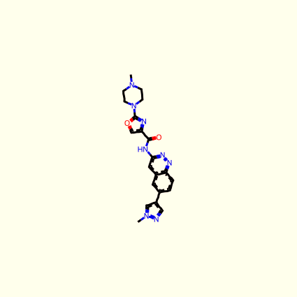 CN1CCN(c2nc(C(=O)Nc3cc4cc(-c5cnn(C)c5)ccc4nn3)co2)CC1